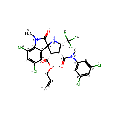 C=CCOC(=O)[C@H]1[C@@H](C(=O)N(C)c2cc(Cl)cc(Cl)c2)[C@@H](C(F)(F)F)NC12C(=O)N(C)c1c(Cl)cc(Cl)cc12